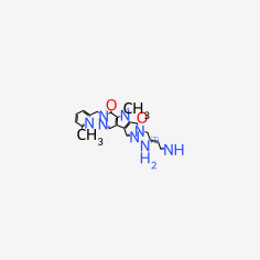 Cc1cccc(Cn2ncc3c4cnn(C/C(N)=C/C=N)c(=O)c4n(C)c3c2=O)n1